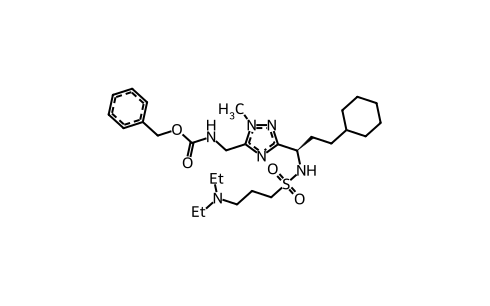 CCN(CC)CCCS(=O)(=O)N[C@H](CCC1CCCCC1)c1nc(CNC(=O)OCc2ccccc2)n(C)n1